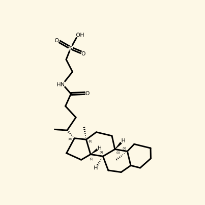 CC(CCC(=O)NCCS(=O)(=O)O)[C@H]1CC[C@H]2[C@@H]3CCC4CCCC[C@]4(C)[C@H]3CC[C@]12C